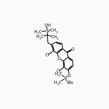 CC(C)(Cc1ccc2c(=O)c3ccc(O[Si](C)(C)C(C)(C)C)c(Cl)c3oc2c1Cl)[Si](C)(C)O